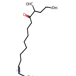 CCCCCCCC/C=C\CCCCCCCC(=O)C([C]=O)CCCCCCCCCCCC